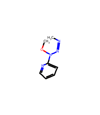 C/N=N\N(OC)c1ccccn1